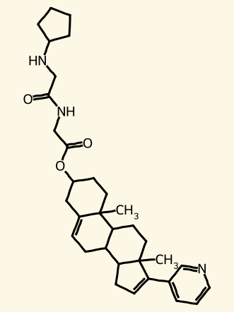 CC12CCC(OC(=O)CNC(=O)CNC3CCCC3)CC1=CCC1C2CCC2(C)C(c3cccnc3)=CCC12